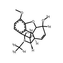 [2H]OC1([2H])C=C[C@H]2[C@@H]3N(C([2H])([2H])[2H])CC[C@@]24c2c(ccc(OC)c2OC14)C3([2H])[2H]